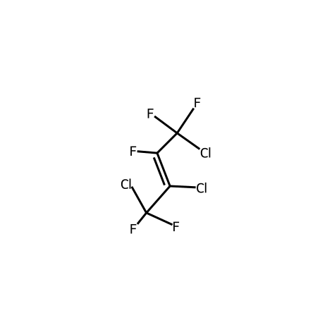 FC(=C(Cl)C(F)(F)Cl)C(F)(F)Cl